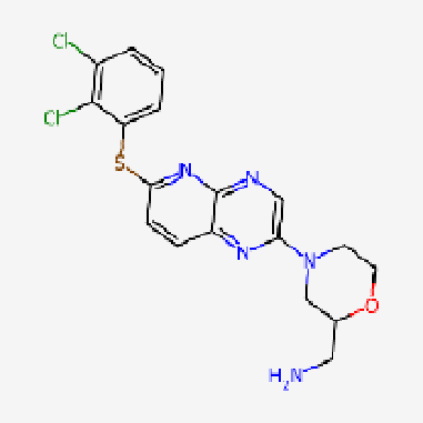 NCC1CN(c2cnc3nc(Sc4cccc(Cl)c4Cl)ccc3n2)CCO1